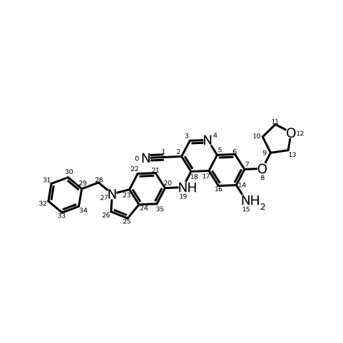 N#Cc1cnc2cc(OC3CCOC3)c(N)cc2c1Nc1ccc2c(ccn2Cc2ccccc2)c1